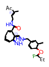 CCC(F)OC1C=CC(CN/C=C2\C(=N)C=C=CC=C2C(=O)NC/C=C(\C)C(C)=O)=CC1C